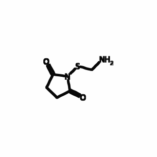 NCSN1C(=O)CCC1=O